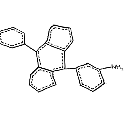 Nc1[c]ccc(-c2c3ccccc3c(-c3ccccc3)c3ccccc23)c1